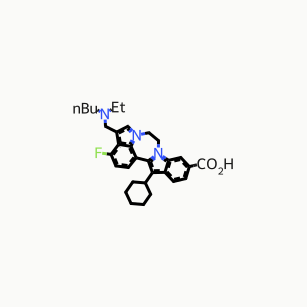 CCCCN(CC)Cc1cn2c3c(ccc(F)c13)-c1c(C3CCCCC3)c3ccc(C(=O)O)cc3n1CC2